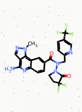 Cn1ncc2c(N)nc3ccc(C(=O)N(Cc4ccc(C(F)(F)F)cn4)N4CCC(F)(F)C4=O)cc3c21